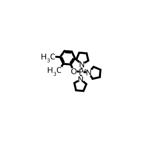 Cc1cccc(O[P+](N2CCCC2)(N2CCCC2)N2CCCC2)c1C